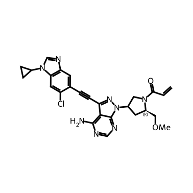 C=CC(=O)N1CC(n2nc(C#Cc3cc4ncn(C5CC5)c4cc3Cl)c3c(N)ncnc32)C[C@@H]1COC